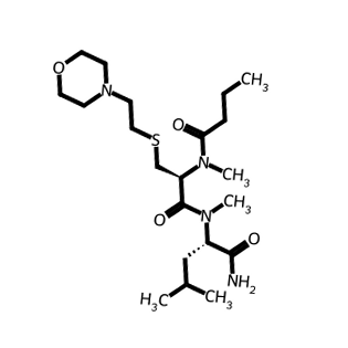 CCCC(=O)N(C)[C@H](CSCCN1CCOCC1)C(=O)N(C)[C@@H](CC(C)C)C(N)=O